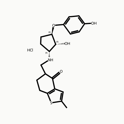 Cc1cc2c(s1)CCC(CN[C@@H]1CC[C@@H](Oc3ccc(O)cc3)[C@@H]1O)C2=O.Cl